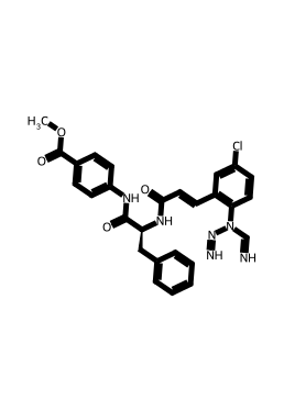 COC(=O)c1ccc(NC(=O)[C@H](Cc2ccccc2)NC(=O)/C=C/c2cc(Cl)ccc2N(C=N)N=N)cc1